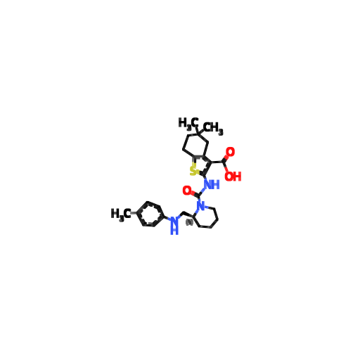 Cc1ccc(NC[C@@H]2CCCCN2C(=O)Nc2sc3c(c2C(=O)O)CC(C)(C)CC3)cc1